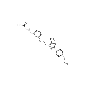 CCCc1ccc(-c2nc(CCOc3cccc(CSCC(=O)O)c3)c(C)o2)cc1